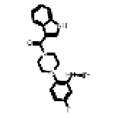 CC(C)Nc1cc(F)ccc1N1CCN(C(=O)c2c[nH]c3ccccc23)CC1